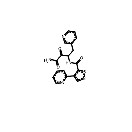 NC(=O)C(=O)C(Cc1cccnc1)NC(=O)c1sncc1-c1ccccn1